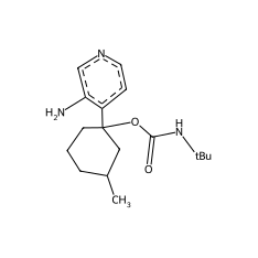 CC1CCCC(OC(=O)NC(C)(C)C)(c2ccncc2N)C1